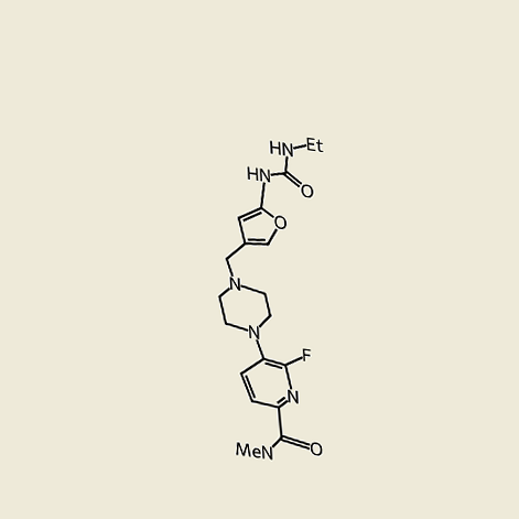 CCNC(=O)Nc1cc(CN2CCN(c3ccc(C(=O)NC)nc3F)CC2)co1